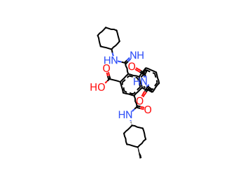 C[C@H]1CC[C@H](NC(=O)c2cc(C(=O)O)c(C(=N)NC3CCCCC3)c3c4ccc(c(=O)[nH]c4=O)c23)CC1